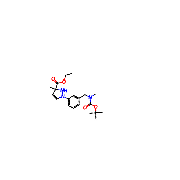 CCOC(=O)C1(C)C=CN(c2cccc(CN(C)C(=O)OC(C)(C)C)c2)N1